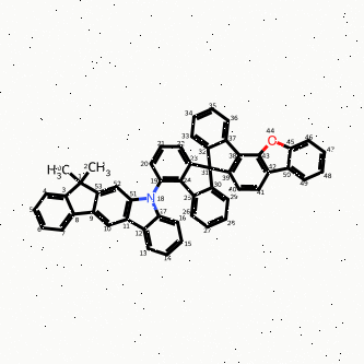 CC1(C)c2ccccc2-c2cc3c4ccccc4n(-c4cccc5c4-c4ccccc4C54c5ccccc5-c5c4ccc4c5oc5ccccc54)c3cc21